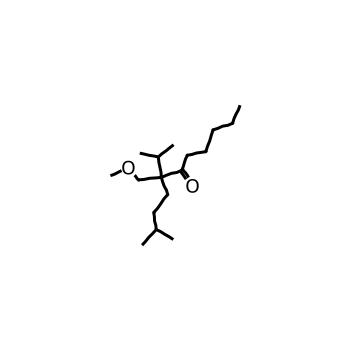 CCCCCC(=O)C(CCC(C)C)(COC)C(C)C